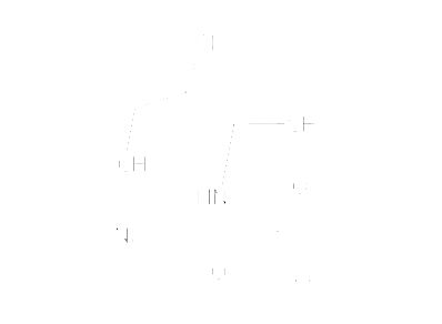 CCC(C)C(C)NS(=O)(=O)[O-].[Na+]